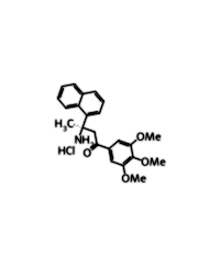 COc1cc(C(=O)C[C@@](C)(N)c2cccc3ccccc23)cc(OC)c1OC.Cl